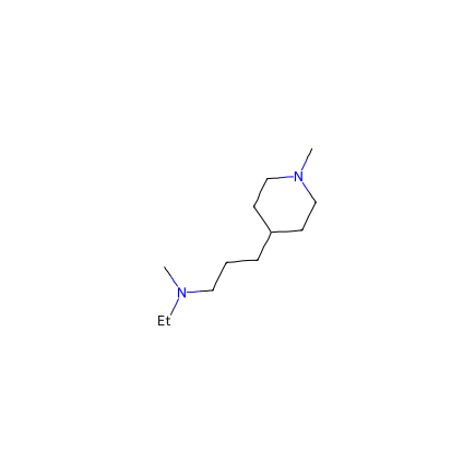 CCN(C)CCCC1CCN(C)CC1